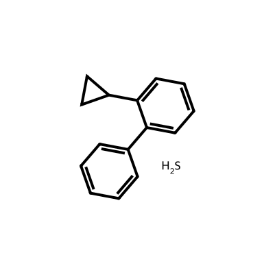 S.c1ccc(-c2ccccc2C2CC2)cc1